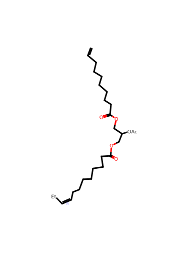 C=CCCCCCCCC(=O)OCC(COC(=O)CCCCCCC/C=C\CC)OC(C)=O